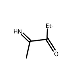 C[CH]C(=O)C(C)=N